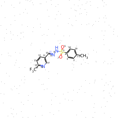 Cc1ccc(S(=O)(=O)N/N=C/c2ccc(C(F)(F)F)nc2)cc1